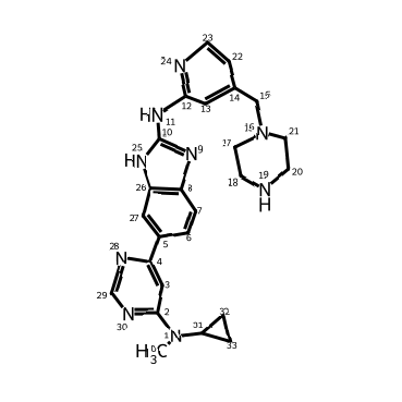 CN(c1cc(-c2ccc3nc(Nc4cc(CN5CCNCC5)ccn4)[nH]c3c2)ncn1)C1CC1